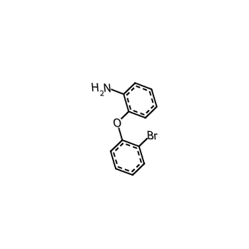 Nc1ccccc1Oc1ccccc1Br